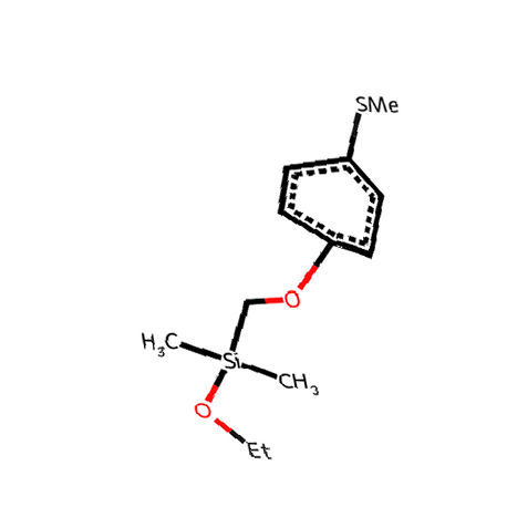 CCO[Si](C)(C)COc1ccc(SC)cc1